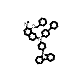 C=Nc1ccc2ccc(N(c3ccc(-c4ccccc4)cc3)c3ccc(-n4c5ccccc5c5ccccc54)cc3)cc2c1OCc1ccccc1